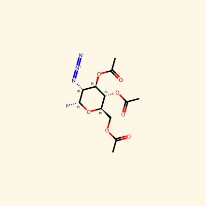 CC(=O)OC[C@H]1O[C@H](I)[C@H](N=[N+]=[N-])[C@@H](OC(C)=O)[C@@H]1OC(C)=O